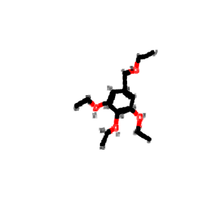 [CH2]COCc1cc(OCC)c(OCC)c(OCC)c1